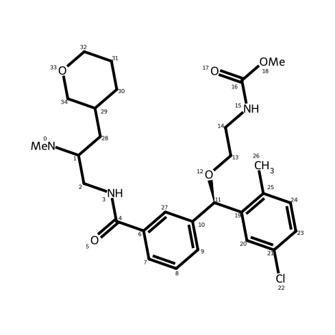 CNC(CNC(=O)c1cccc([C@@H](OCCNC(=O)OC)c2cc(Cl)ccc2C)c1)CC1CCCOC1